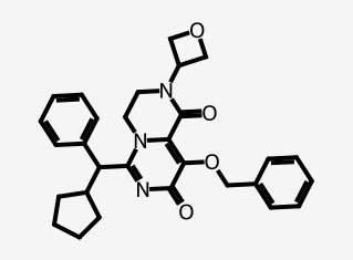 O=C1c2c(OCc3ccccc3)c(=O)nc(C(c3ccccc3)C3CCCC3)n2CCN1C1COC1